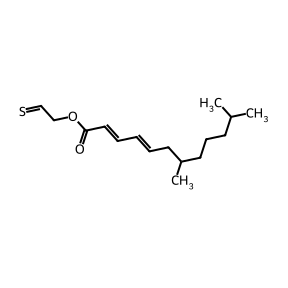 CC(C)CCCC(C)CC=CC=CC(=O)OCC=S